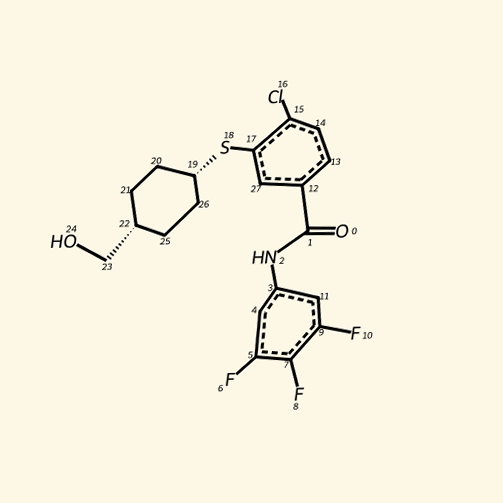 O=C(Nc1cc(F)c(F)c(F)c1)c1ccc(Cl)c(S[C@H]2CC[C@@H](CO)CC2)c1